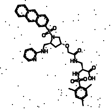 Cc1cc(C)c(S(=O)(=O)N[C@@H](CNC(=O)CO[C@@H]2C[C@@H](CNc3ccccn3)N(S(=O)(=O)c3ccc4cc5ccccc5cc4c3)C2)C(=O)O)c(C)c1